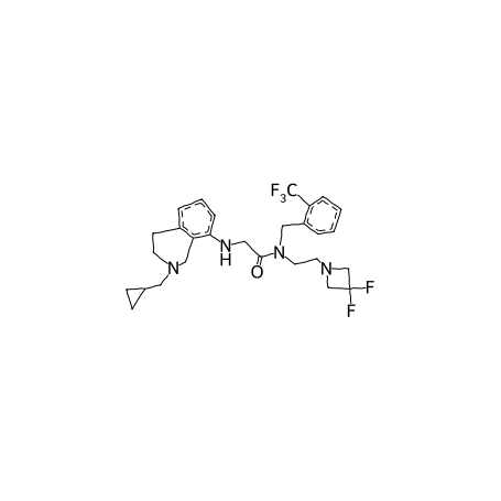 O=C(CNc1cccc2c1CN(CC1CC1)CC2)N(CCN1CC(F)(F)C1)Cc1ccccc1C(F)(F)F